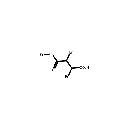 CCOC(=O)C(Br)C(Br)C(=O)O